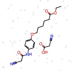 CCOC(=O)CCCCCOc1ccc(NC(=O)CC#N)cc1.N#CCC(=O)O